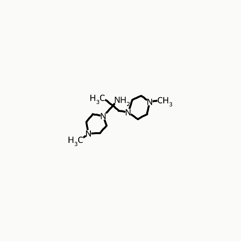 CN1CCN(CC(C)(N)N2CCN(C)CC2)CC1